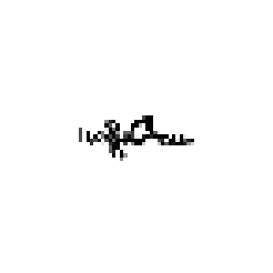 COC1CCN(S(C)(=O)=O)C1